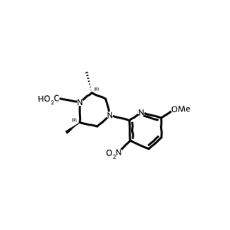 COc1ccc([N+](=O)[O-])c(N2C[C@@H](C)N(C(=O)O)[C@H](C)C2)n1